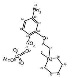 COS(=O)(=O)[O-].C[N+]1(CCOc2cc(N)ccc2[N+](=O)[O-])CCCCC1